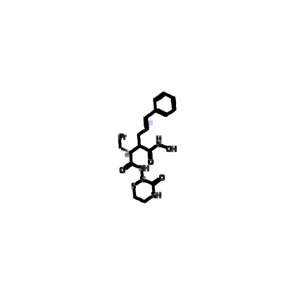 CC(C)C[C@@H](C(=O)NN1SCCNC1=O)C(C/C=C/c1ccccc1)C(=O)NO